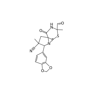 CC1(C=O)NC(=O)C23CC(C)(C#N)C(c4ccc5c(c4)OCO5)N2P3S1